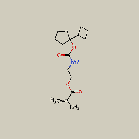 C=C(C)C(=O)OCCNC(=O)OC1(C2CCC2)CCCC1